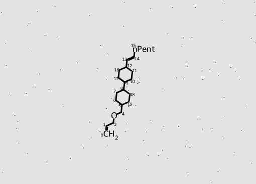 C=CCOCC1CCC(C2CCC(/C=C/CCCCC)CC2)CC1